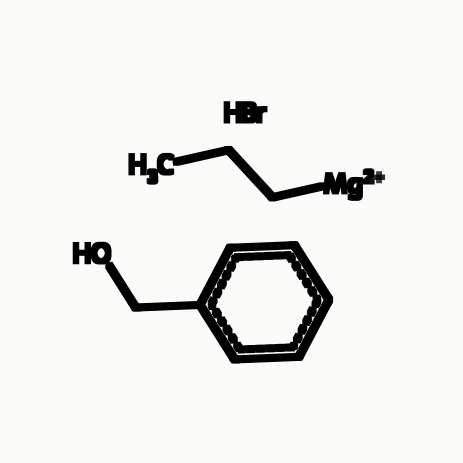 Br.CC[CH2][Mg+2].OCc1ccccc1